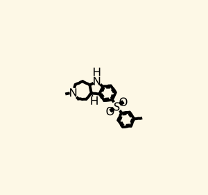 Cc1cccc(S(=O)(=O)c2ccc3c(c2)[C@H]2CCN(C)CCC2N3)c1